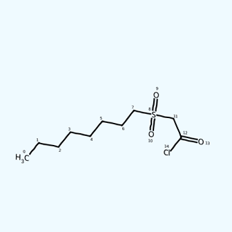 CCCCCCCCS(=O)(=O)CC(=O)Cl